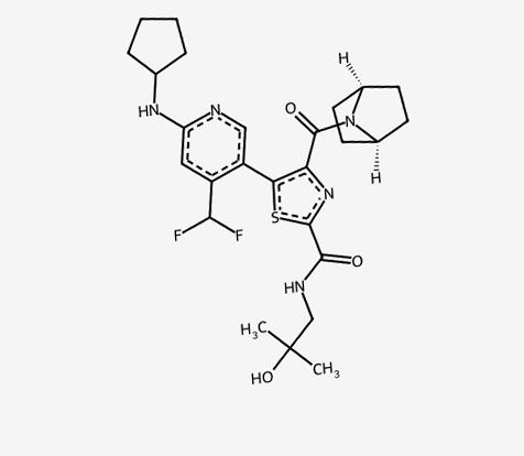 CC(C)(O)CNC(=O)c1nc(C(=O)N2[C@H]3CC[C@@H]2CC3)c(-c2cnc(NC3CCCC3)cc2C(F)F)s1